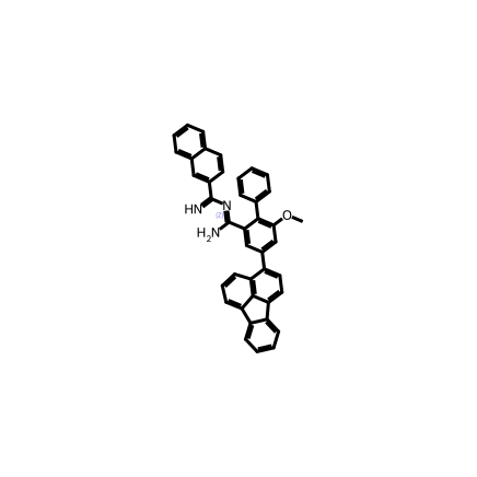 COc1cc(-c2ccc3c4c(cccc24)-c2ccccc2-3)cc(/C(N)=N/C(=N)c2ccc3ccccc3c2)c1-c1ccccc1